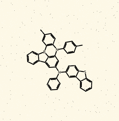 Cc1ccc(N2c3ccc(C)cc3B3c4ccccc4-c4cc(N(c5ccccc5)c5ccc6sc7ccccc7c6c5)cc2c43)cc1